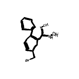 ON=C(NO)c1cc(CBr)ccc1-c1ccccc1